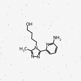 Cc1nnc(-c2cccc(N)n2)n1CCCCO